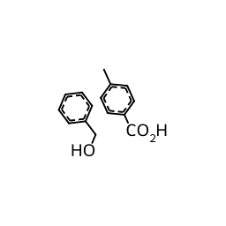 Cc1ccc(C(=O)O)cc1.OCc1ccccc1